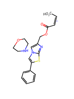 C1COCCN1.O=C(O)/C=C\C(=O)OCc1cn2cc(-c3ccccc3)sc2n1